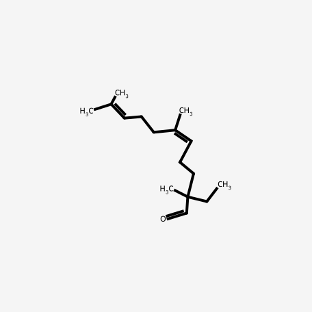 CCC(C)(C=O)CCC=C(C)CCC=C(C)C